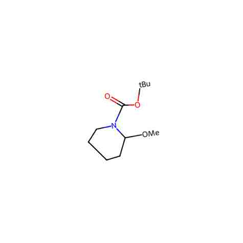 COC1CCCCN1C(=O)OC(C)(C)C